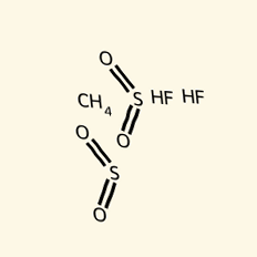 C.F.F.O=S=O.O=S=O